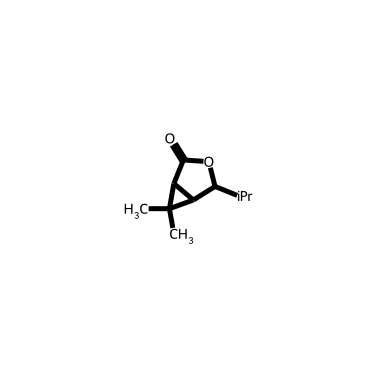 CC(C)C1OC(=O)C2C1C2(C)C